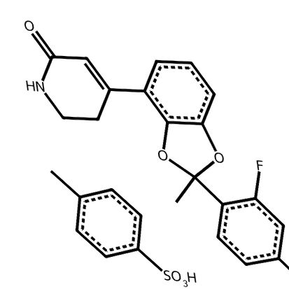 CC1(c2ccc(Cl)cc2F)Oc2cccc(C3=CC(=O)NCC3)c2O1.Cc1ccc(S(=O)(=O)O)cc1